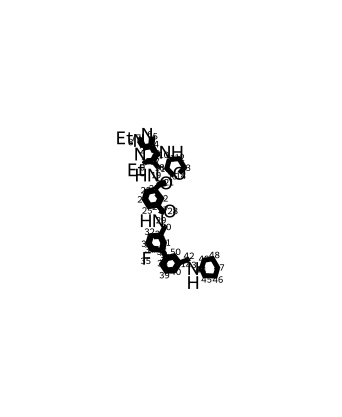 CCc1nc2c(cnn2CC)c(NC2CCOCC2)c1CNC(=O)c1cccc(C(=O)NCc2ccc(F)c(-c3cccc(CNC4CCCCC4)c3)c2)c1